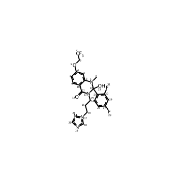 CN1c2cc(OCC(F)(F)F)ccc2C(=O)N(CCCn2cncn2)C1(O)c1ccc(F)cc1F